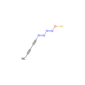 N#CC#CC#C/N=N/N=N/OS